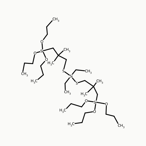 CCCO[Si](CC(C)(C)CS[Si](CC)(CC)SCC(C)(C)C[Si](OCCC)(OCCC)OCCC)(OCCC)OCCC